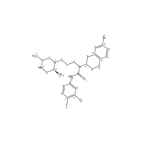 CC1CN(CCCN(C(=O)Nc2ccc(F)c(Cl)c2)C2COc3ccc(Br)cc3C2)[C@@H](C)CN1